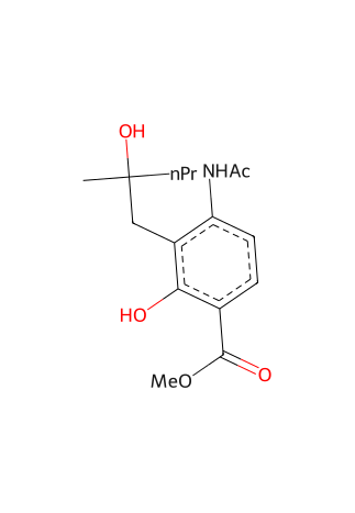 CCCC(C)(O)Cc1c(NC(C)=O)ccc(C(=O)OC)c1O